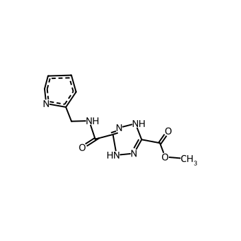 COC(=O)C1=NNC(C(=O)NCc2ccccn2)=NN1